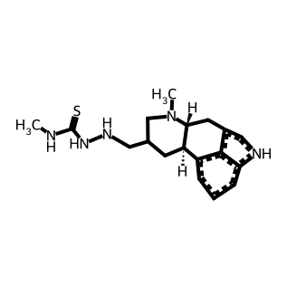 CNC(=S)NNCC1C[C@@H]2c3cccc4[nH]cc(c34)C[C@H]2N(C)C1